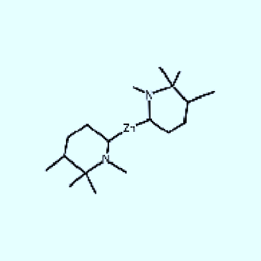 CC1CC[CH]([Zn][CH]2CCC(C)C(C)(C)N2C)N(C)C1(C)C